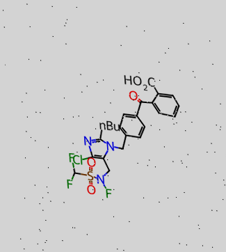 CCCCc1nc(Cl)c(CN(F)S(=O)(=O)C(F)F)n1Cc1ccc(C(=O)c2ccccc2C(=O)O)cc1